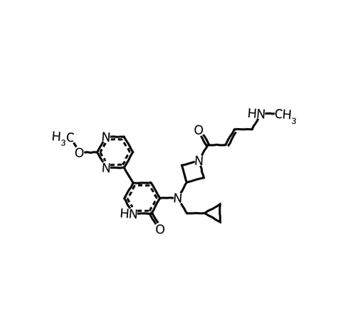 CNCC=CC(=O)N1CC(N(CC2CC2)c2cc(-c3ccnc(OC)n3)c[nH]c2=O)C1